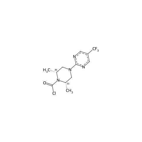 C[C@@H]1CN(c2ncc(C(F)(F)F)cn2)C[C@H](C)N1C(=O)Cl